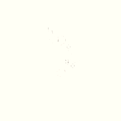 Cc1ccc(-c2nc(CCOc3ccc4c(c3)CC[C@H]4CI)c(C)o2)cc1